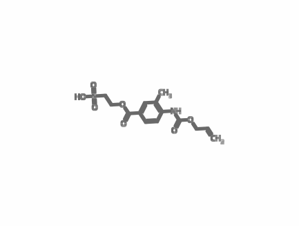 C=CCOC(=O)Nc1ccc(C(=O)OCCS(=O)(=O)O)cc1C